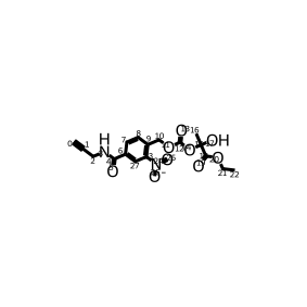 C#CCNC(=O)c1ccc(COC(=O)OC(C)(O)C(=O)OCC)c([N+](=O)[O-])c1